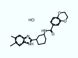 Cc1cc2nc(C3CCCC(NC(=O)c4ccc5c(c4)OCCO5)C3)[nH]c2cc1C.Cl